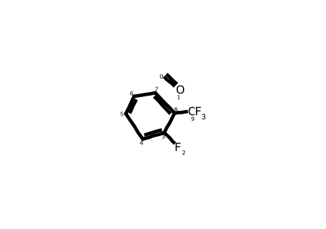 C=O.Fc1ccccc1C(F)(F)F